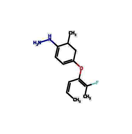 C/C=C\C(OC1=CC=C(NN)C(C)C1)=C(/C)F